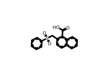 O=C(O)c1c(CS(=O)(=O)c2ccccc2)ccc2ccccc12